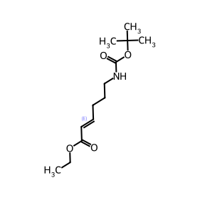 CCOC(=O)/C=C/CCCNC(=O)OC(C)(C)C